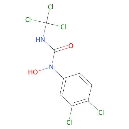 O=C(NC(Cl)(Cl)Cl)N(O)c1ccc(Cl)c(Cl)c1